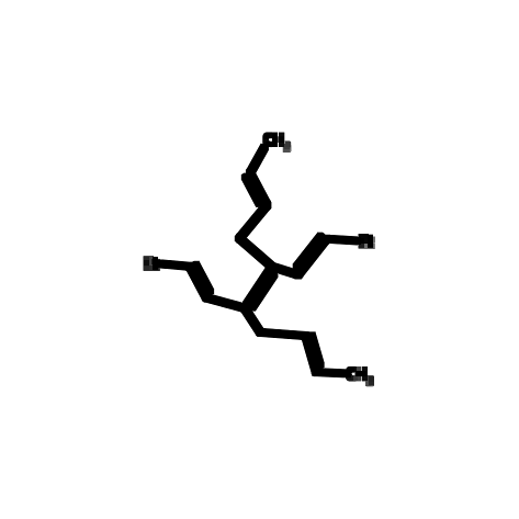 CC=CCC(C=CCC)=C(C=CCC)CC=CC